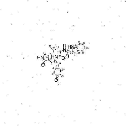 COc1ccc(C[C@H](C[C@@H]2CCNC2=O)NC(=O)[C@H](CC(C)C)NC(=O)c2cc3ccccc3[nH]2)cc1